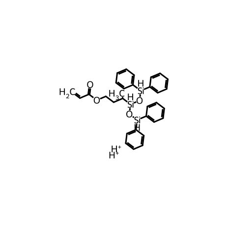 C=CC(=O)OCCC(C)[SiH](O[SiH](c1ccccc1)c1ccccc1)O[SiH](c1ccccc1)c1ccccc1.[H+].[H+]